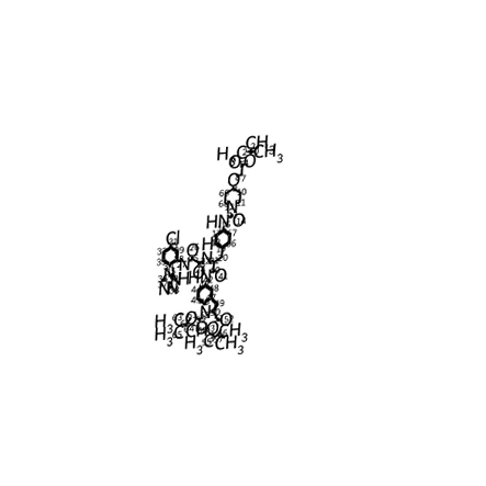 CC(C)(C)OC(=O)COC1CCN(C(=O)Nc2ccc(CC(NC(=O)C(=O)Nc3cc(Cl)ccc3-n3cnnn3)C(=O)Nc3ccc4c(c3)cc(C(=O)OC(C)(C)C)n4C(=O)OC(C)(C)C)cc2)CC1